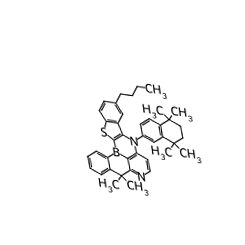 CCCCc1ccc2sc3c(c2c1)N(c1ccc2c(c1)C(C)(C)CCC2(C)C)c1ccnc2c1B3c1ccccc1C2(C)C